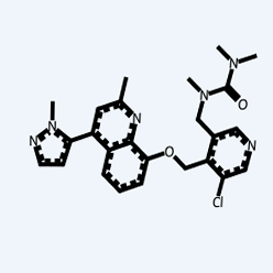 Cc1cc(-c2ccnn2C)c2cccc(OCc3c(Cl)cncc3CN(C)C(=O)N(C)C)c2n1